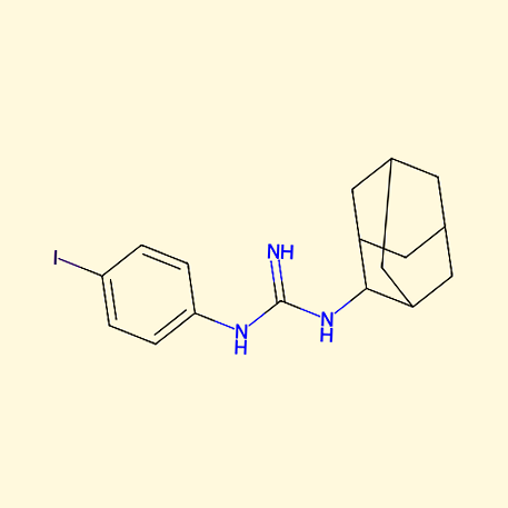 N=C(Nc1ccc(I)cc1)NC1C2CC3CC(C2)CC1C3